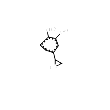 COc1cc(C2CN2)ccc1C=O